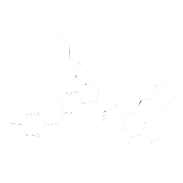 CC1CN(CC(=O)N2CC(C)(C(=O)NCCN)c3ccc(Cc4ccc(F)cc4)cc32)[C@@H](CN2CCOCC2C)CN1C=O